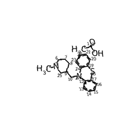 CC(=O)O.CN1CCCC(CN2c3ccccc3Sc3ccccc32)C1